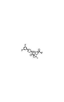 CN(C(=O)NC1CCN(c2cc(F)cc(F)c2)CC1)C1CCN(C(=O)C2CC2)CC1